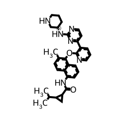 Cc1ccc2c(NC(=O)C3CC3C(C)C)cccc2c1Oc1ncccc1-c1ccnc(N[C@H]2CCCNC2)n1